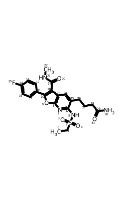 CCS(=O)(=O)Nc1nc2oc(-c3ccc(F)cc3)c(C(=O)NC)c2cc1CCCC(N)=O